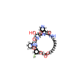 CN1C(=O)[C@H]2C[C@H](O)CN2C(=O)[C@@H](CC2CCCCC2)NC(=O)c2ccc(F)cc2OCC(=O)OCCCCCCCCNC(=O)[C@@H]1Cc1cccnc1